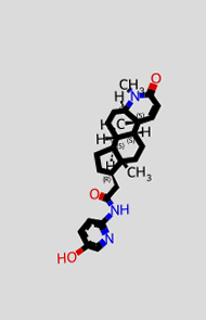 CN1C(=O)C=C[C@]2(C)[C@H]3CC[C@]4(C)[C@@H](CC(=O)Nc5ccc(O)cn5)CC[C@H]4[C@@H]3CC[C@@H]12